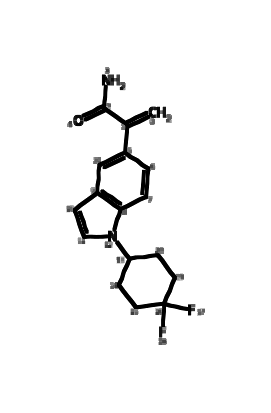 C=C(C(N)=O)c1ccc2c(ccn2C2CCC(F)(F)CC2)c1